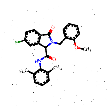 COc1ccccc1CN1C(=O)c2ccc(F)cc2C1C(=O)Nc1c(C)cccc1C